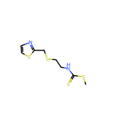 CSC(=S)NCCSCc1nccs1